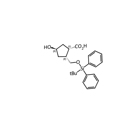 CC(C)(C)[Si](OC[C@@H]1C[C@@H](O)C[C@@H]1C(=O)O)(c1ccccc1)c1ccccc1